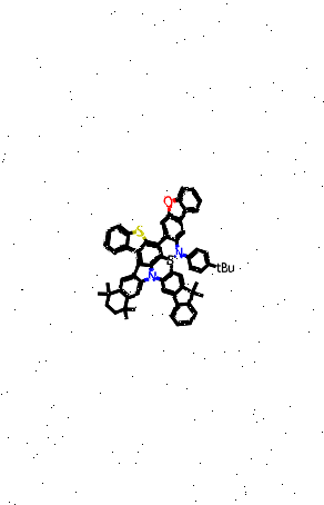 CC(C)(C)c1ccc(N2B3c4cc5c(cc4-n4c6cc7c(cc6c6c8c(sc9ccccc98)c(c3c64)-c3cc4oc6ccccc6c4cc32)C(C)(C)CCC7(C)C)-c2ccccc2C5(C)C)cc1